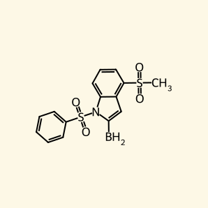 Bc1cc2c(S(C)(=O)=O)cccc2n1S(=O)(=O)c1ccccc1